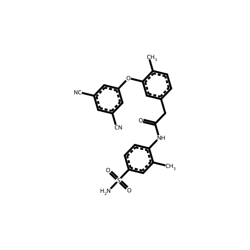 Cc1cc(S(N)(=O)=O)ccc1NC(=O)Cc1ccc(C)c(Oc2cc(C#N)cc(C#N)c2)c1